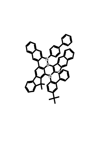 CC(C)(C)c1ccc(N2c3oc4cc5ccccc5cc4c3B3c4c(cc5c(c42)C(C)(C)c2ccccc2-5)-c2cc4ccccc4cc2N3c2ccc(-c3ccccc3)cc2)c(-c2ccccc2)c1